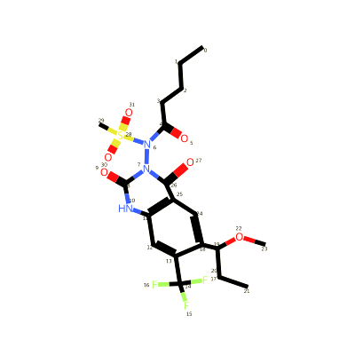 CCCCC(=O)N(n1c(=O)[nH]c2cc(C(F)(F)F)c(C(CC)OC)cc2c1=O)S(C)(=O)=O